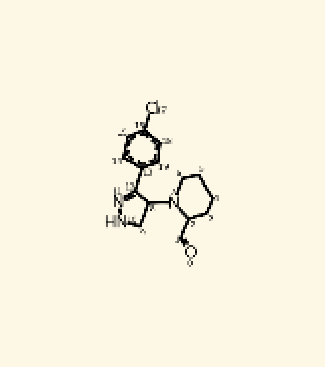 O=CC1CCCCN1C1CNN=C1c1ccc(Cl)cc1